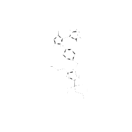 CCCCc1nc(C(CCC)(OC)OC)nn1Cc1ccc(-n2c(C)cc(C)c2-c2nnn[nH]2)cc1